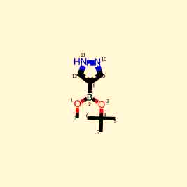 COB(OC(C)(C)C)c1cn[nH]c1